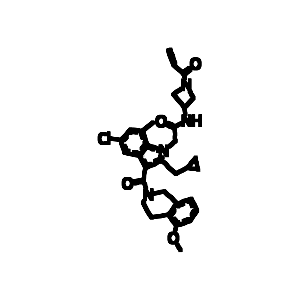 C=CC(=O)N1CC(NC(=O)Cn2c(CC3CC3)c(C(=O)N3CCc4c(cccc4OC)C3)c3cc(Cl)cc(C)c32)C1